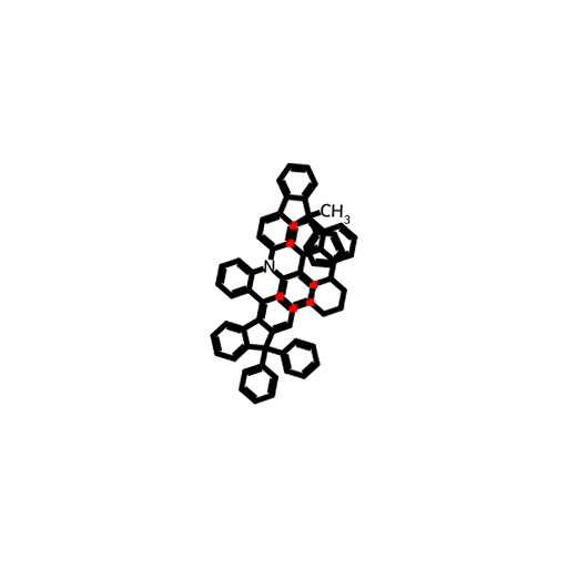 CC1(c2ccccc2)c2ccccc2-c2ccc(N(c3ccccc3-c3cccc4c3-c3ccccc3C4(c3ccccc3)c3ccccc3)c3ccccc3-c3cccc4cccc(C5CCCCC5)c34)cc21